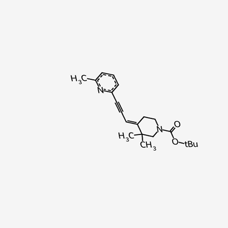 Cc1cccc(C#C/C=C2\CCN(C(=O)OC(C)(C)C)CC2(C)C)n1